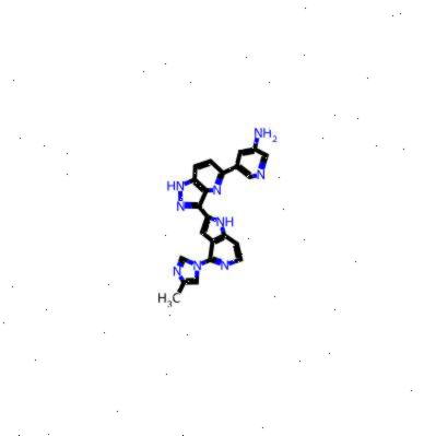 Cc1cn(-c2nccc3[nH]c(-c4n[nH]c5ccc(-c6cncc(N)c6)nc45)cc23)cn1